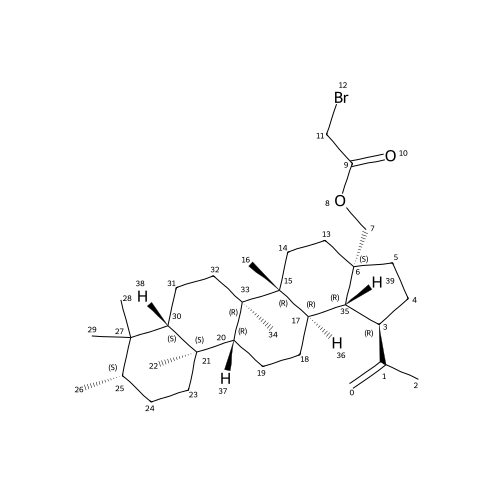 C=C(C)[C@@H]1CC[C@]2(COC(=O)CBr)CC[C@]3(C)[C@H](CC[C@@H]4[C@@]5(C)CC[C@H](C)C(C)(C)[C@@H]5CC[C@]43C)[C@@H]12